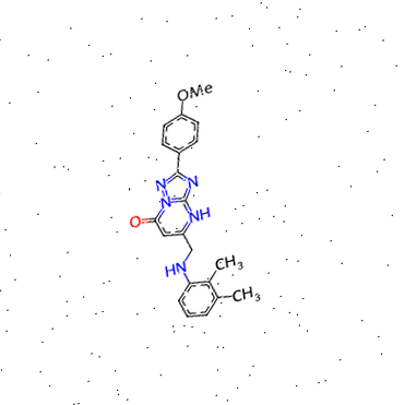 COc1ccc(-c2nc3[nH]c(CNc4cccc(C)c4C)cc(=O)n3n2)cc1